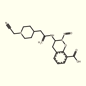 C=C(CC1CCN(CC#N)CC1)NC1Cc2cccc(C(=O)O)c2OB1N=O